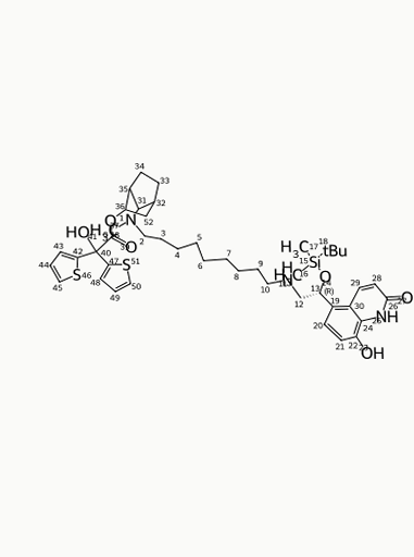 CN(CCCCCCCCCNC[C@H](O[Si](C)(C)C(C)(C)C)c1ccc(O)c2[nH]c(=O)ccc12)C1C2CCC1C(OC(=O)C(O)(c1cccs1)c1cccs1)C2